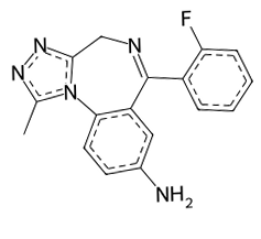 Cc1nnc2n1-c1ccc(N)cc1C(c1ccccc1F)=NC2